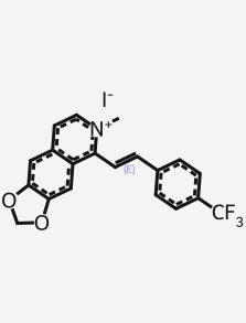 C[n+]1ccc2cc3c(cc2c1/C=C/c1ccc(C(F)(F)F)cc1)OCO3.[I-]